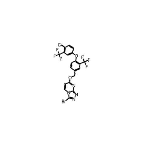 FC(F)(F)c1cc(Oc2ccc(COc3ccn4c(Br)nnc4n3)cc2C(F)(F)F)ccc1Cl